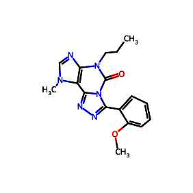 CCCn1c(=O)n2c(-c3ccccc3OC)nnc2c2c1ncn2C